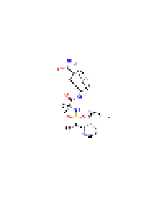 C=C(c1ncccc1/C=C\C)S(=O)(=O)NC1(C(=O)NC2C3CC4CC2CC(C(N)=O)(C4)C3)CC1